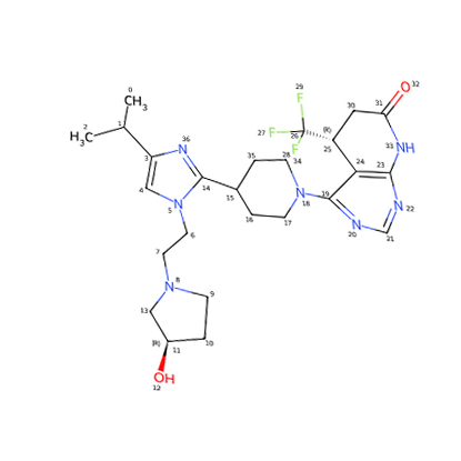 CC(C)c1cn(CCN2CC[C@@H](O)C2)c(C2CCN(c3ncnc4c3[C@H](C(F)(F)F)CC(=O)N4)CC2)n1